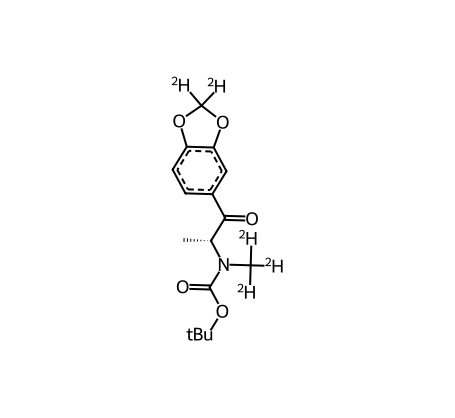 [2H]C1([2H])Oc2ccc(C(=O)[C@@H](C)N(C(=O)OC(C)(C)C)C([2H])([2H])[2H])cc2O1